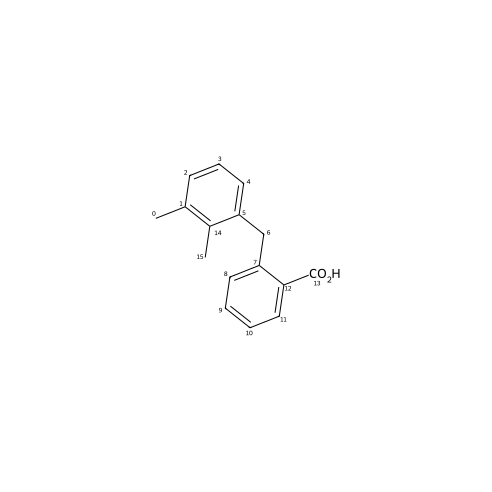 Cc1cccc(Cc2ccccc2C(=O)O)c1C